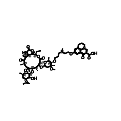 CC[C@H]1OC(=O)[C@H](C)[C@@H](O[C@H]2C[C@@](C)(OC)[C@@H](OCCCN(C)CCOc3cc4c5c(c3)c(=O)c(C(=O)O)cn5CCC4)[C@H](C)O2)[C@H](C)[C@@H](O[C@@H]2O[C@H](C)C[C@H](N(C)C)[C@H]2O)[C@](C)(OC)C[C@@H](C)C(=O)C(C)[C@H]2NC(=O)O[C@@]21C